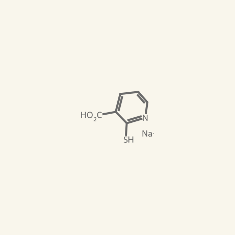 O=C(O)c1cccnc1S.[Na]